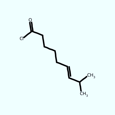 CC(C)/C=C/CCCCC(=O)Cl